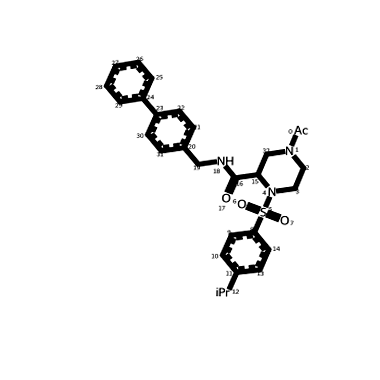 CC(=O)N1CCN(S(=O)(=O)c2ccc(C(C)C)cc2)C(C(=O)NCc2ccc(-c3ccccc3)cc2)C1